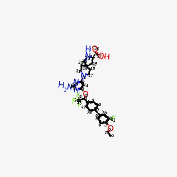 CCOc1ccc(-c2ccc(C(Oc3cc(N4CCC5(CC4)CN[C@H](C(=O)O)C5)nc(N)n3)C(F)(F)F)cc2)cc1F